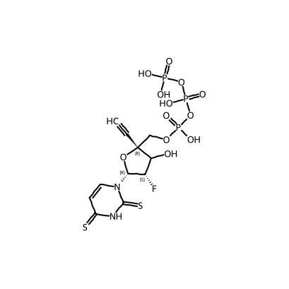 C#C[C@]1(COP(=O)(O)OP(=O)(O)OP(=O)(O)O)O[C@@H](n2ccc(=S)[nH]c2=S)[C@@H](F)C1O